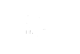 C1=CC2NC3=C(C=CCC3)C2C=C1